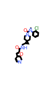 CN(C(=O)N1CCC2(CC1)CC2CNC(=O)c1cc2ccncc2o1)c1ccccc1Cl